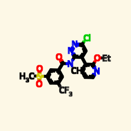 CCOc1ncccc1-c1cc(Cl)nnc1N(C)C(=O)c1cc(C(F)(F)F)cc(S(C)(=O)=O)c1